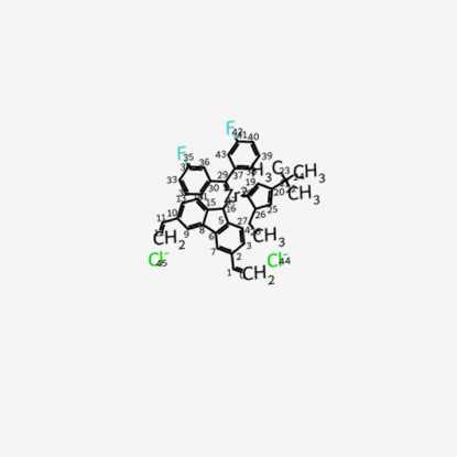 C=Cc1ccc2c(c1)-c1cc(C=C)ccc1[CH]2[Zr+2]([C]1=CC(C(C)(C)C)=CC1CC)=[C](c1cccc(F)c1)c1cccc(F)c1.[Cl-].[Cl-]